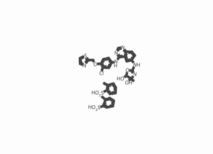 CC1(O)N=C(Nc2ccc3ncnc(Nc4ccc(OCc5nccs5)c(Cl)c4)c3c2)OC1O.Cc1ccccc1S(=O)(=O)O.Cc1ccccc1S(=O)(=O)O